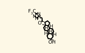 C[C@@]1(O)CC[C@H]2[C@H](CC[C@@H]3[C@@H]2CC[C@]2(C)[C@@H](C(=O)Cn4nnc(C(F)(F)F)n4)CC[C@@H]32)C1